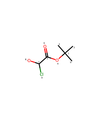 CC(C)(C)OC(=O)C([O])Cl